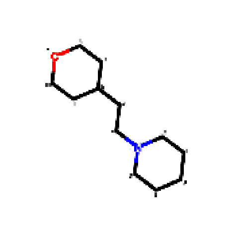 C1CCN(CCC2CCOCC2)CC1